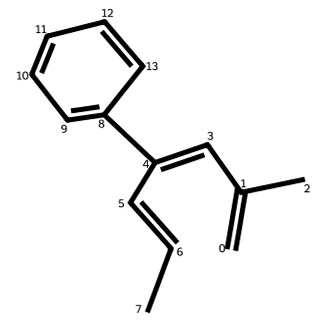 C=C(C)C=C(C=CC)c1ccccc1